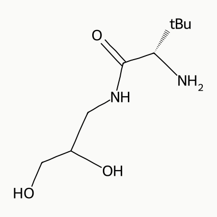 CC(C)(C)[C@H](N)C(=O)NCC(O)CO